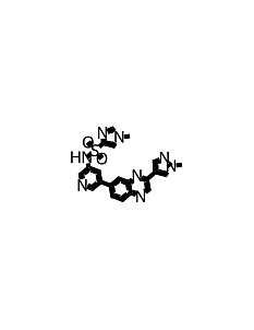 Cn1cnc(S(=O)(=O)Nc2cncc(-c3ccc4ncc(-c5cnn(C)c5)nc4c3)c2)c1